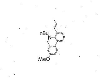 C/C=C/c1cccc2c1N(CCCC)Cc1cc(OC)ccc1-2